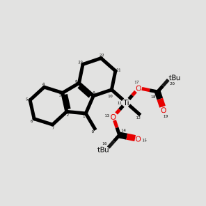 CC1C2=C(CCCC2)C2=C1[CH]([Ti]([CH3])([O]C(=O)C(C)(C)C)[O]C(=O)C(C)(C)C)CCC2